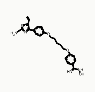 C=Cc1sc(N)nc1-c1ccc(OCCCCCOc2ccc(C(=N)NO)cc2)cc1